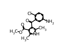 COC(=O)c1c(C)[nH]c(C)c1C(=O)c1cc(N)ccc1Cl